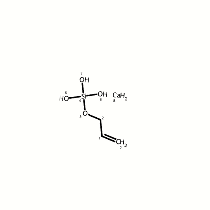 C=CCO[Si](O)(O)O.[CaH2]